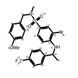 COc1ccc(CN(C)S(=O)(=O)c2ccc(NC(C)c3ccc(C(F)(F)F)cc3)c(Br)c2)cc1